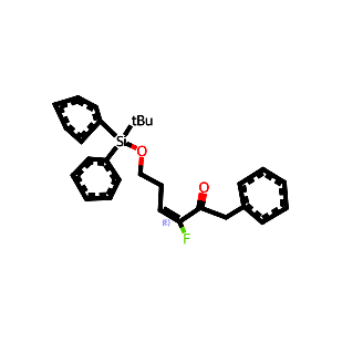 CC(C)(C)[Si](OCC/C=C(/F)C(=O)Cc1ccccc1)(c1ccccc1)c1ccccc1